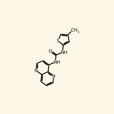 Cc1csc(NC(=O)Nc2ccnc3cccnc23)c1